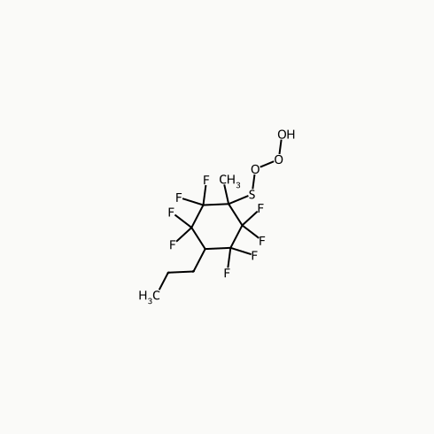 CCCC1C(F)(F)C(F)(F)C(C)(SOOO)C(F)(F)C1(F)F